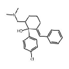 CN(C)CC1CCCC(=Cc2ccccc2)C1(O)c1ccc(Cl)cc1